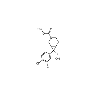 CC(C)(C)OC(=O)N1CCC2C(C1)C2(CO)c1ccc(Cl)c(Cl)c1